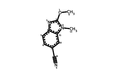 COc1nc2ccc(C#N)cc2n1C